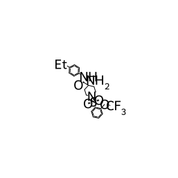 CCc1ccc(NC(=O)C2(N)CCN(S(=O)(=O)c3ccccc3OC(F)(F)F)CC2)cc1